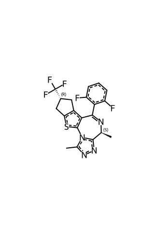 Cc1nnc2n1-c1sc3c(c1C(c1c(F)cccc1F)=N[C@H]2C)C[C@@H](C(F)(F)F)C3